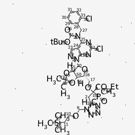 CCOC(=O)C(Cc1nnnn1COCC[Si](C)(C)C)(OC[C@H]1O[C@@H](n2ncc3c(N(Cc4ccccc4Cl)C(=O)OC(C)(C)C)nc(Cl)nc32)[C@@H]2OC(C)(C)O[C@@H]21)P(C)(C)=O